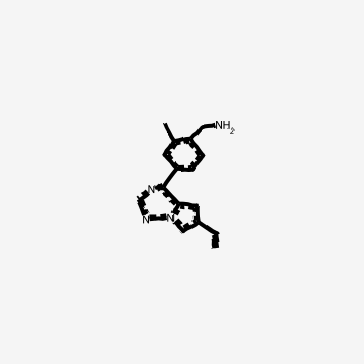 C=Cc1cc2c(-c3ccc(CN)c(C)c3)ncnn2c1